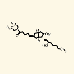 CCCCC[C@H](O)/C=C/[C@@H]1[C@H]2C/C(=C/CCCC(=O)N(CC)CC)C[C@H]2C[C@H]1O